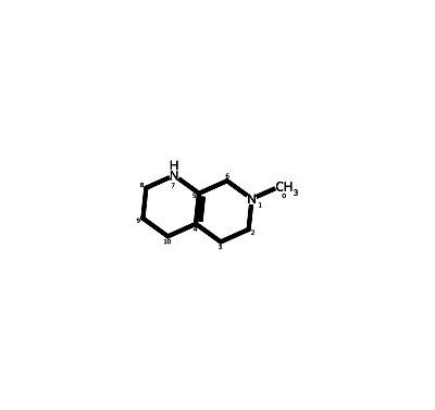 CN1CCC2=C(C1)NCCC2